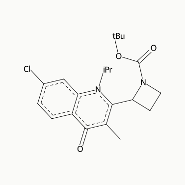 Cc1c(C2CCN2C(=O)OC(C)(C)C)n(C(C)C)c2cc(Cl)ccc2c1=O